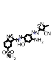 Cc1nsc(/N=N/c2cc(/N=N/c3snc4ccc(S(N)(=O)=O)cc34)c(O)cc2N)c1C#N